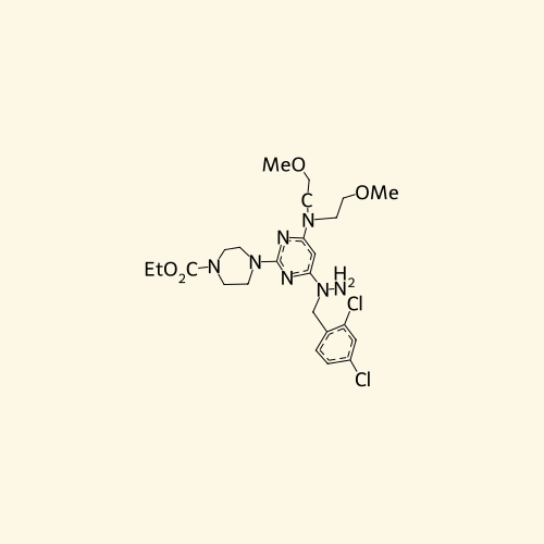 CCOC(=O)N1CCN(c2nc(N(N)Cc3ccc(Cl)cc3Cl)cc(N(CCOC)CCOC)n2)CC1